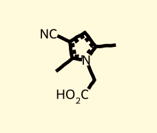 Cc1cc(C#N)c(C)n1CC(=O)O